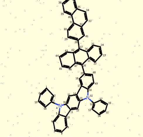 c1ccc(-n2c3ccccc3c3cc4c(cc32)c2cc(-c3c5ccccc5c(-c5ccc6c(ccc7ccccc76)c5)c5ccccc35)ccc2n4-c2ccccc2)cc1